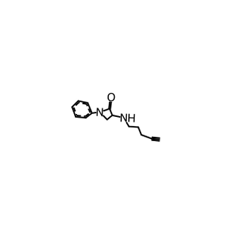 C#CCCCNC1CN(c2ccccc2)C1=O